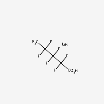 O=C(O)C(F)(F)C(F)(F)C(F)(F)C(F)(F)F.[LiH]